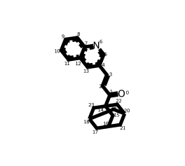 O=C(C=Cc1cnc2ccccc2c1)C12CC3CC(CC(C3)C1)C2